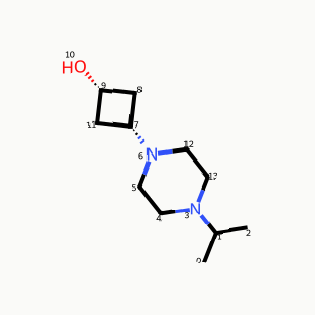 CC(C)N1CCN([C@H]2C[C@@H](O)C2)CC1